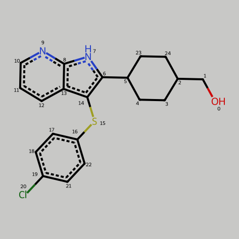 OCC1CCC(c2[nH]c3ncccc3c2Sc2ccc(Cl)cc2)CC1